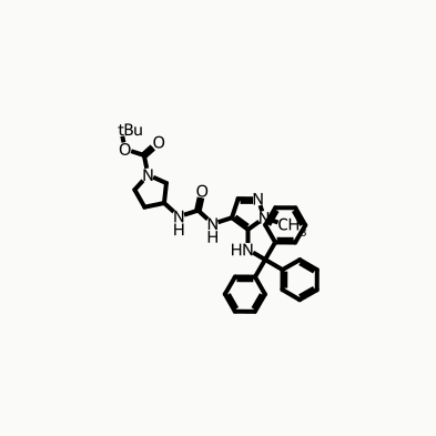 Cn1ncc(NC(=O)NC2CCN(C(=O)OC(C)(C)C)C2)c1NC(c1ccccc1)(c1ccccc1)c1ccccc1